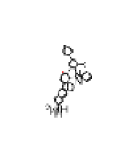 [2H]C([2H])([2H])c1ccc2cc3c(cc2c1)oc1c(-c2nc4ccccc4n2-c2c(C(C)C)cc(-c4ccccc4)cc2C(C)C)cccc13